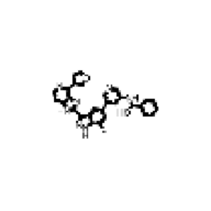 OC(Nc1cncc(-c2cc(F)c3[nH]nc(-c4nc5c(-c6ccoc6)nccc5[nH]4)c3c2)c1)c1ccccc1